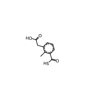 Cc1c(CC(=O)O)cccc1C(=O)S